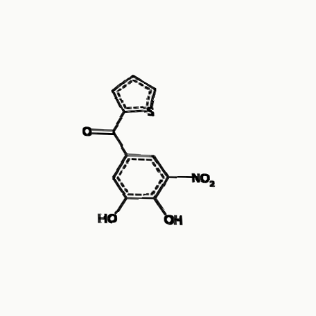 O=C(c1cc(O)c(O)c([N+](=O)[O-])c1)c1cccs1